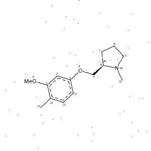 COc1cc(OC[C@H]2CCCN2C)ccc1C